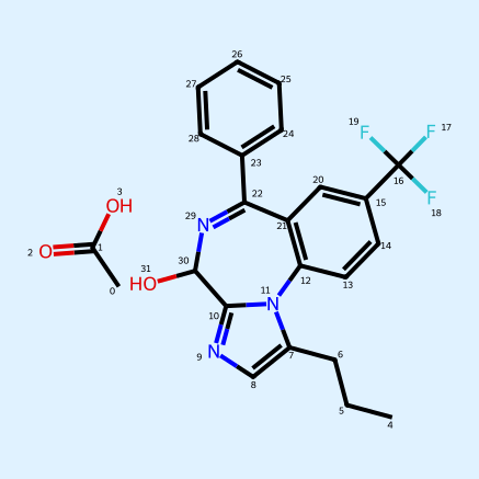 CC(=O)O.CCCc1cnc2n1-c1ccc(C(F)(F)F)cc1C(c1ccccc1)=NC2O